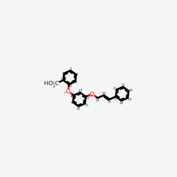 O=C(O)c1ccccc1Oc1cccc(OC/C=C/c2ccccc2)c1